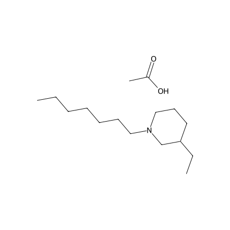 CC(=O)O.CCCCCCCN1CCCC(CC)C1